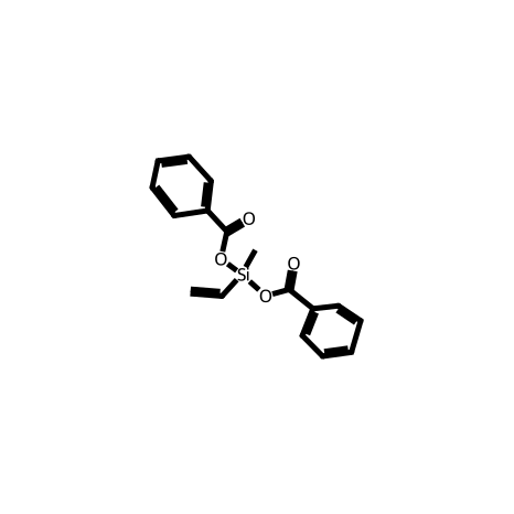 C=C[Si](C)(OC(=O)c1ccccc1)OC(=O)c1ccccc1